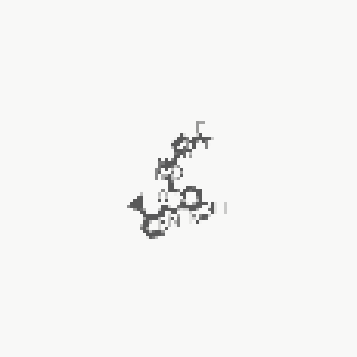 O=C(c1nnc(-c2ccn(C(F)F)n2)o1)N1CCc2[nH]cnc2[C@@H]1c1cc2c(C3CC3)cccn2n1